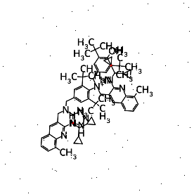 Cc1cccc2cc(CN(Cc3cc(C(C)(C)C)c([N+](C#N)(Cc4cc(C(C)(C)C)c(O)c(C(C)(C)C)c4)Cc4cc5cccc(C)c5nc4NC(C4CC4)C4CC4)c(C(C)(C)C)c3)c3nn[nH]n3)c(NC(C3CC3)C3CC3)nc12